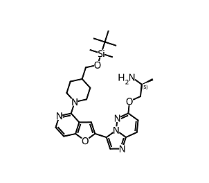 C[C@H](N)COc1ccc2ncc(-c3cc4c(N5CCC(CO[Si](C)(C)C(C)(C)C)CC5)nccc4o3)n2n1